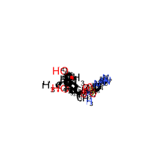 CC[C@H]1[C@@H](O)[C@@H]2[C@H](CC[C@]3(C)[C@@H]([C@H](C)COC(=O)NS(=O)(=O)c4ccc(-n5cnnc5)nc4)CC[C@@H]23)[C@@]2(C)CC[C@@H](O)C[C@@H]12